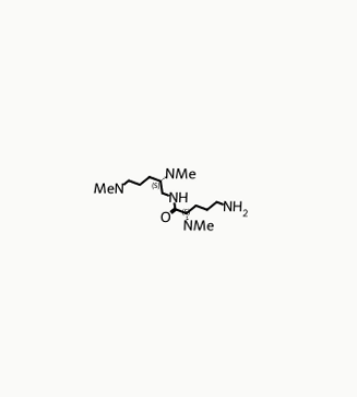 CNCCC[C@@H](CNC(=O)[C@H](CCCN)NC)NC